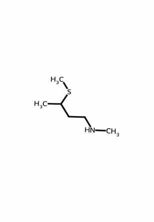 CNCCC(C)SC